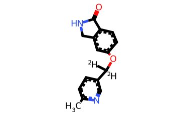 [2H]C([2H])(Oc1ccc2c(c1)CNC2=O)c1ccc(C)nc1